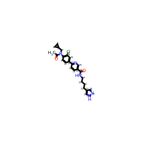 CC(=O)N(CC1CC1)c1ccc(-c2ccc(C(=O)NCCCCc3cn[nH]c3)cn2)cc1Cl